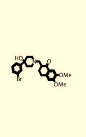 COc1cc2c(cc1OC)C(=O)C(CN1CCC(O)(c3cccc(Br)c3)CC1)CC2